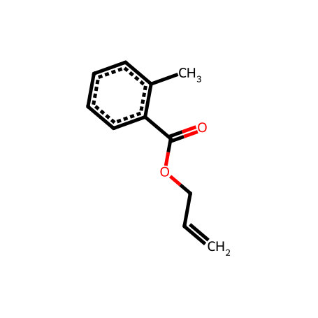 C=CCOC(=O)c1ccccc1C